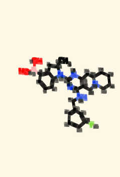 Cc1cc2c(B(O)O)cccc2n1-c1nc2c(c(NCc3cccc(F)c3)n1)CN1CCCCC1C2